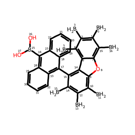 Bc1c(B)c(B)c2c(oc3c(B)c(B)c(B)c(-c4c5ccccc5c(B(O)O)c5ccccc45)c32)c1B